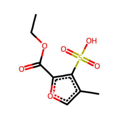 CCOC(=O)c1occ(C)c1S(=O)(=O)O